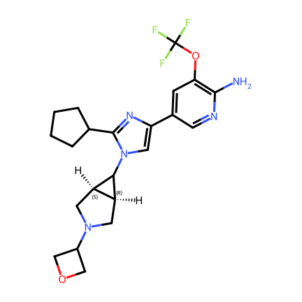 Nc1ncc(-c2cn(C3[C@H]4CN(C5COC5)C[C@@H]34)c(C3CCCC3)n2)cc1OC(F)(F)F